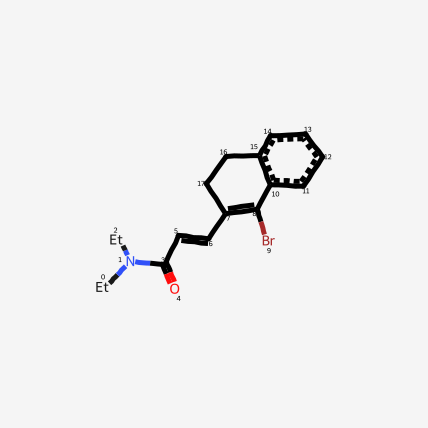 CCN(CC)C(=O)C=CC1=C(Br)c2ccccc2CC1